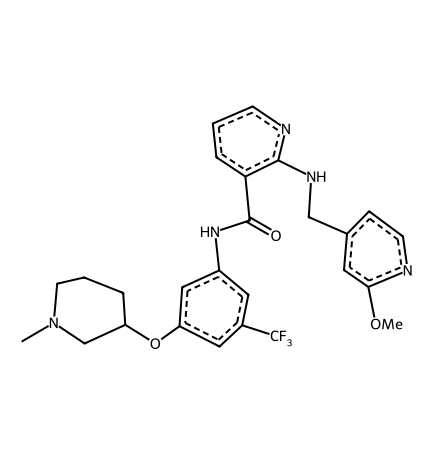 COc1cc(CNc2ncccc2C(=O)Nc2cc(OC3CCCN(C)C3)cc(C(F)(F)F)c2)ccn1